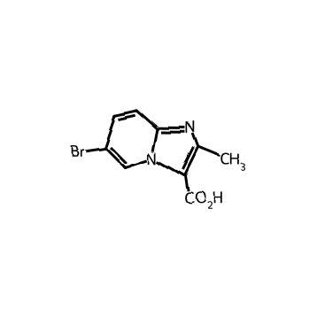 Cc1nc2ccc(Br)cn2c1C(=O)O